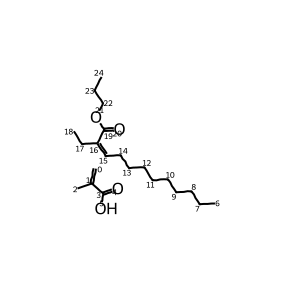 C=C(C)C(=O)O.CCCCCCCCCC=C(CC)C(=O)OCCC